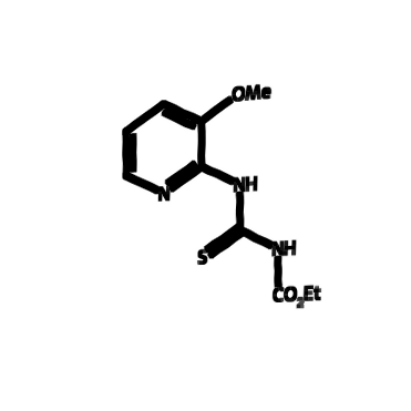 CCOC(=O)NC(=S)Nc1ncccc1OC